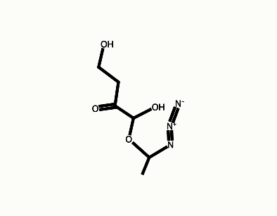 CC(N=[N+]=[N-])OC(O)C(=O)CCO